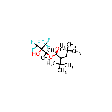 CC(C)(C)CC(C(=O)OC(C)(C)C(O)(C(F)(F)F)C(F)(F)F)C(C)(C)C